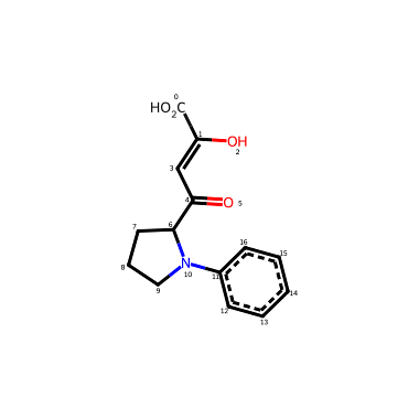 O=C(O)C(O)=CC(=O)C1CCCN1c1ccccc1